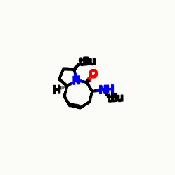 CC(C)(C)N[C@H]1C/C=C\C[C@H]2CC[C@@H](C(C)(C)C)N2C1=O